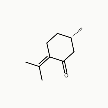 CC(C)=C1CC[C@H](C)CC1=O